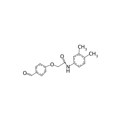 Cc1ccc(NC(=O)COc2ccc(C=O)cc2)cc1C